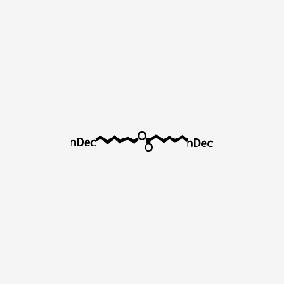 CCCCCCCCCCCCCCCCOC(=O)CCCCCCCCCCCCCCC